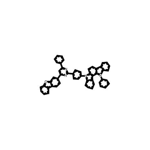 c1ccc(-c2cc(-c3ccc4c(c3)oc3ccccc34)nc(-c3ccc(-n4c5ccccc5c5c4ccc4c6ccccc6n(-c6ccccc6)c45)cc3)n2)cc1